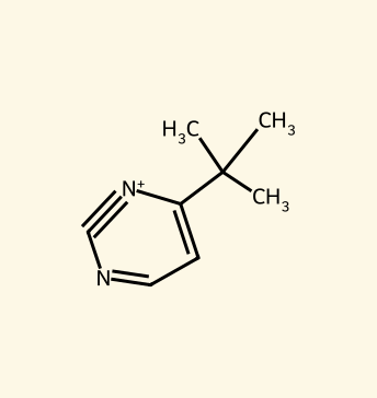 CC(C)(C)c1ccnc#[n+]1